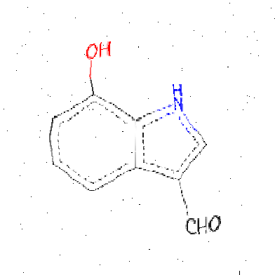 O=Cc1c[nH]c2c(O)cccc12